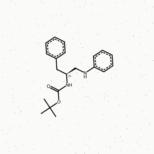 CC(C)(C)OC(=O)N[C@H](CNc1ccccc1)Cc1ccccc1